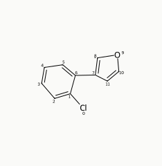 Clc1ccccc1-c1[c]occ1